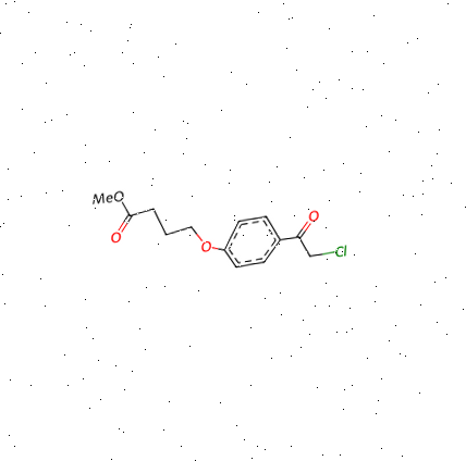 COC(=O)CCCOc1ccc(C(=O)CCl)cc1